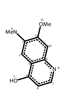 CNc1cc2c(O)ccnc2cc1OC